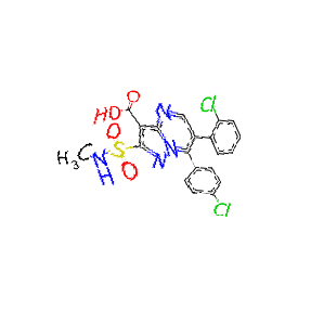 CNS(=O)(=O)c1nn2c(-c3ccc(Cl)cc3)c(-c3ccccc3Cl)cnc2c1C(=O)O